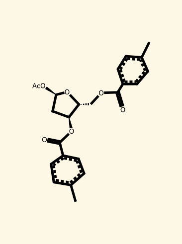 CC(=O)O[C@@H]1C[C@H](OC(=O)c2ccc(C)cc2)[C@@H](COC(=O)c2ccc(C)cc2)O1